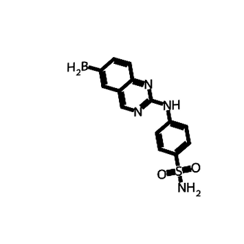 Bc1ccc2nc(Nc3ccc(S(N)(=O)=O)cc3)ncc2c1